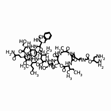 CC[C@H](C)[C@H](NC(=O)[C@@H](Cc1ccccc1)NC)C(=O)N[C@@H](CO)C(=O)N[C@H](CCC(N)=O)C(=O)N[C@@H](C(=O)N[C@H](C(=O)N[C@@H](CO)C(=O)N[C@H]1C(=O)N[C@@H](C)C(=O)NC2(CC2CCNC(=O)OC(CN)CN)C(=O)N[C@@H]([C@@H](C)CC)C(=O)O[C@H]1C)[C@@H](C)CC)[C@@H](C)CC